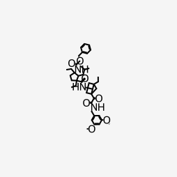 CCC12CC3(NC(=O)C4(CC)CCC(CC)(NC(=O)OCc5ccccc5)C4CC(C)C)CC(C(=O)C(=O)NCc4cc(OC)cc(OC)c4)(C1)C23